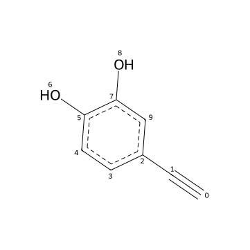 C#Cc1ccc(O)c(O)c1